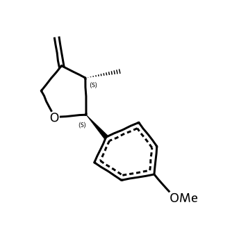 C=C1CO[C@H](c2ccc(OC)cc2)[C@H]1C